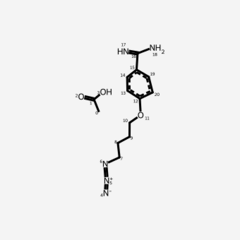 CC(=O)O.[N-]=[N+]=NCCCCOc1ccc(C(=N)N)cc1